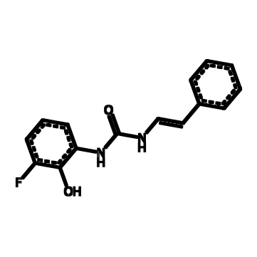 O=C(NC=Cc1ccccc1)Nc1cccc(F)c1O